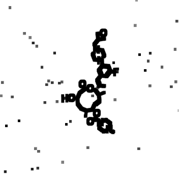 C/C(=C\c1cc(F)cc(N2CCN(CC3COC3)CC2)c1)[C@H]1OC(=O)C[C@H](O)CC[C@H](C)[C@@H](OC(=O)N2CCN(C)CC2)/C=C/[C@@H]1C